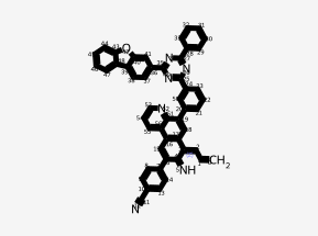 C=C/C=C1\C(=N)C(c2ccc(C#N)cc2)=Cc2c1cc(-c1cccc(-c3nc(-c4ccccc4)nc(-c4ccc5c(c4)oc4ccccc45)n3)c1)c1ncccc21